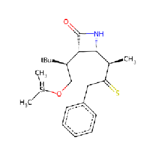 C[C@@H](C(=S)Cc1ccccc1)[C@H]1NC(=O)[C@H]1[C@@H](CO[SiH](C)C)C(C)(C)C